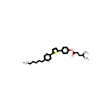 CCCCCCc1ccc(-c2ccc(-c3ccc(OC(=O)CCC(C)C)cc3)s2)cc1